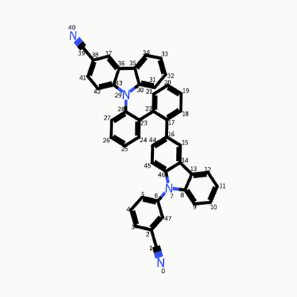 N#Cc1cccc(-n2c3ccccc3c3cc(-c4ccccc4-c4ccccc4-n4c5ccccc5c5cc(C#N)ccc54)ccc32)c1